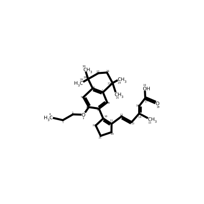 CCCOc1cc2c(cc1C1=C(C=CC(C)=CC(=O)O)CCC1)C(C)(C)CCC2(C)C